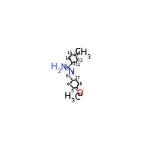 COc1ccc(CN=C(N)c2ccc(C)cc2)cc1